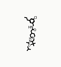 CCCc1cc(Cl)cc(CNC(=O)CC2CCN(CC(NC(C)OCC(C)C)C(C)(C)C)CC2)c1